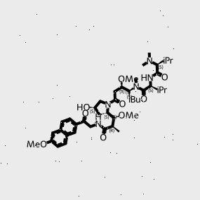 CC[C@H](C)[C@@H]([C@@H](CC(=O)N1C[C@@H](O)C[C@H]1[C@H](OC)[C@@H](C)C(=O)NCC(=O)c1ccc2cc(OC)ccc2c1)OC)N(C)C(=O)[C@@H](NC(=O)[C@H](C(C)C)N(C)C)C(C)C